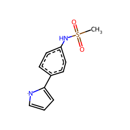 CS(=O)(=O)Nc1ccc(C2=CC=C[N]2)cc1